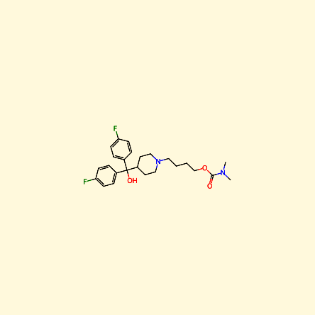 CN(C)C(=O)OCCCCN1CCC(C(O)(c2ccc(F)cc2)c2ccc(F)cc2)CC1